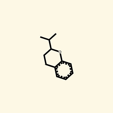 CC(C)C1C[CH]c2ccccc2O1